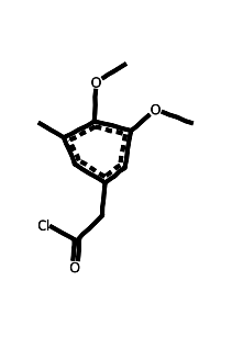 COc1cc(CC(=O)Cl)cc(C)c1OC